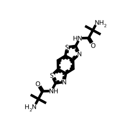 CC(C)(N)C(=O)Nc1nc2cc3nc(NC(=O)C(C)(C)N)sc3cc2s1